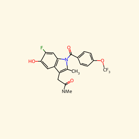 CNC(=O)Cc1c(C)n(C(=O)c2ccc(OC(F)(F)F)cc2)c2cc(F)c(O)cc12